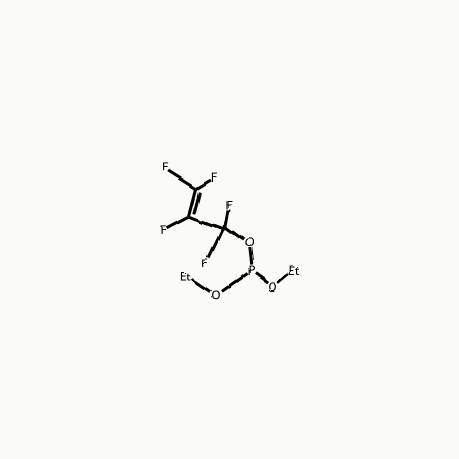 CCOP(OCC)OC(F)(F)C(F)=C(F)F